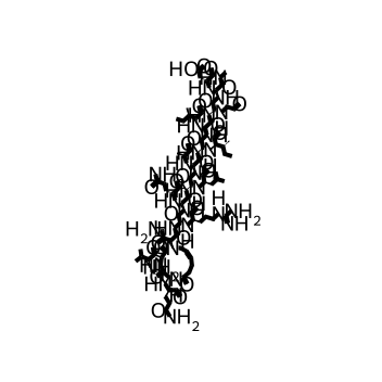 CC[C@@H](C)[C@H](C=O)N[C@H](NC(=O)[C@@H](NC(=O)[C@@H](NC(=O)[C@@H](NC(=O)[C@@H](NC(=O)C(NC(=O)[C@H](C(=O)CN)N1CC=CCCC(=O)N[C@@H](N[C@@H](C=O)CCC(N)=O)C(=O)N[C@@H](C(=O)[C@@H](N)C(C)C)C1=O)N[C@@H](C=O)CCCNC(=N)N)N[C@@H](C=O)CCC(N)=O)N[C@@H](C=O)CC(C)C)N[C@@H](C)C=O)N[C@@H](C=O)[C@H](C)CC)C(=O)N[C@@H](NCC=O)C(=O)N[C@@H](N[C@@H](C=O)CC(=O)O)C(=O)NC